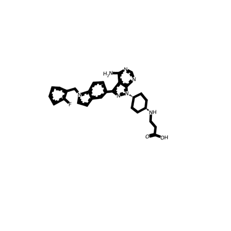 Nc1ncnc2c1c(-c1ccc3c(ccn3Cc3ccccc3F)c1)nn2[C@H]1CC[C@@H](NCCC(=O)O)CC1